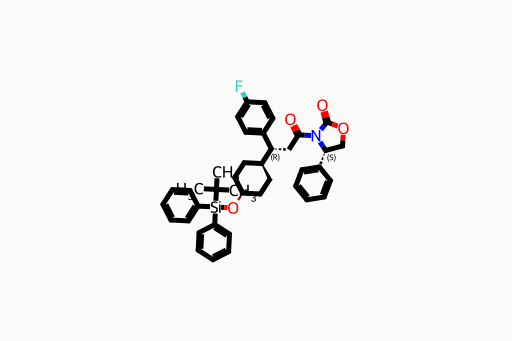 CC(C)(C)[Si](O[C@H]1CC[C@H]([C@@H](CC(=O)N2C(=O)OC[C@@H]2c2ccccc2)c2ccc(F)cc2)CC1)(c1ccccc1)c1ccccc1